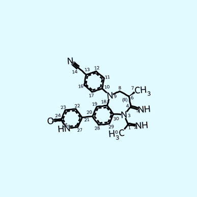 CC(=N)N1C(=N)[C@H](C)CN(c2ccc(C#N)cc2)c2cc(-c3ccc(=O)[nH]c3)ccc21